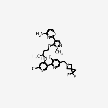 C[C@@H](CCOc1c(-c2nccc(N)n2)cnn1C)Nc1cc(Cl)ncc1-c1ncc(CN2CC3(C2)CC3(F)F)cc1F